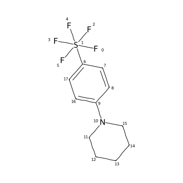 FS(F)(F)(F)(F)c1ccc(N2CCCCC2)cc1